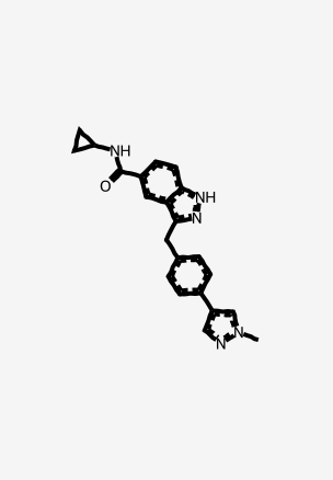 Cn1cc(-c2ccc(Cc3n[nH]c4ccc(C(=O)NC5CC5)cc34)cc2)cn1